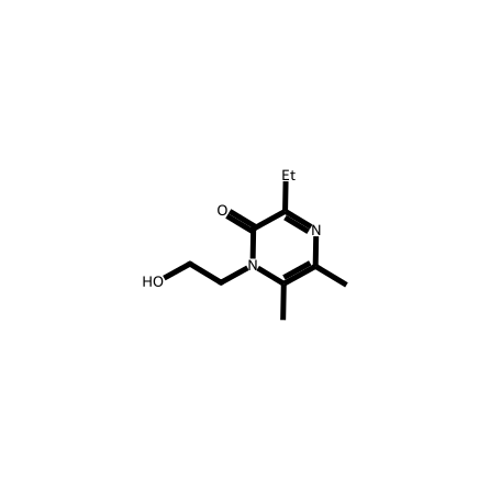 CCc1nc(C)c(C)n(CCO)c1=O